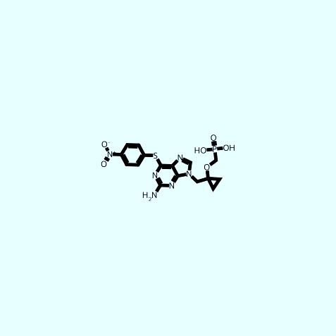 Nc1nc(Sc2ccc([N+](=O)[O-])cc2)c2ncn(CC3(OCP(=O)(O)O)CC3)c2n1